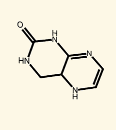 O=C1NCC2NC=CN=C2N1